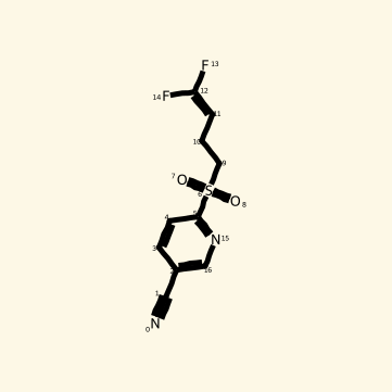 N#Cc1ccc(S(=O)(=O)CCC=C(F)F)nc1